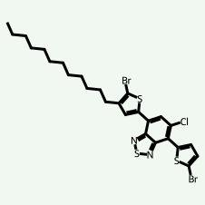 CCCCCCCCCCCCc1cc(-c2cc(Cl)c(-c3ccc(Br)s3)c3nsnc23)sc1Br